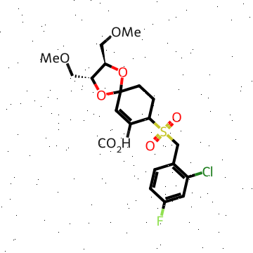 COC[C@H]1OC2(C=C(C(=O)O)C(S(=O)(=O)Cc3ccc(F)cc3Cl)CC2)O[C@@H]1COC